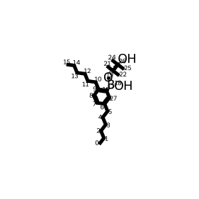 CCCCCCc1ccc(CCCCCC)c(B(O)OC(C)(C)C(C)(C)O)c1